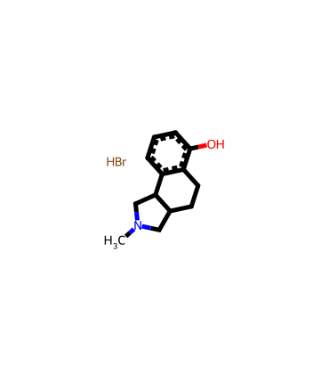 Br.CN1CC2CCc3c(O)cccc3C2C1